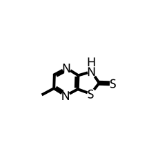 Cc1cnc2[nH]c(=S)sc2n1